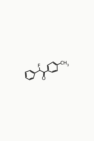 Cc1ccc(C(=O)C(F)c2ccccc2)cc1